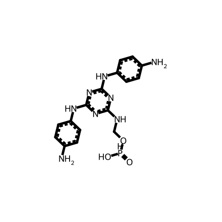 Nc1ccc(Nc2nc(NCO[PH](=O)O)nc(Nc3ccc(N)cc3)n2)cc1